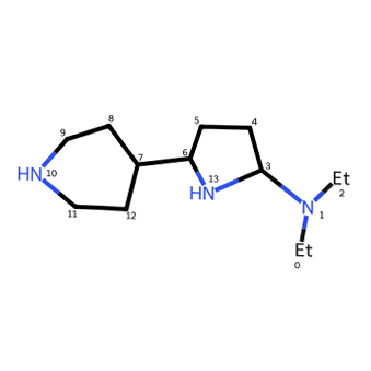 CCN(CC)C1CCC(C2CCNCC2)N1